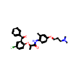 Cc1cc(OCCCN(C)C)ccc1NC(=O)C(C)Oc1ccc(Cl)cc1C(=O)c1ccccc1